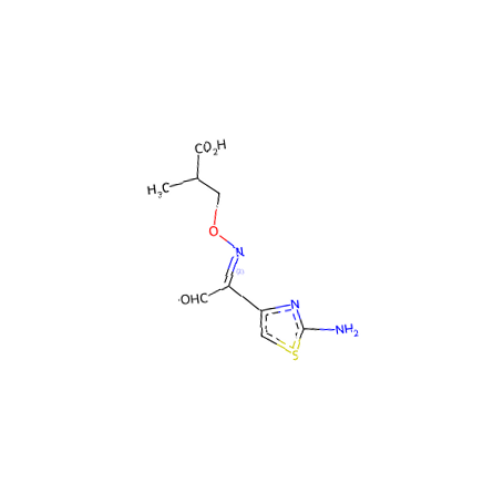 CC(CO/N=C(\[C]=O)c1csc(N)n1)C(=O)O